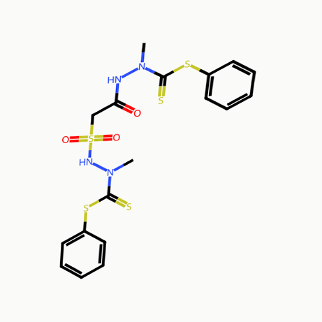 CN(NC(=O)CS(=O)(=O)NN(C)C(=S)Sc1ccccc1)C(=S)Sc1ccccc1